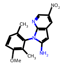 COc1ccc(C)c(-n2c(N)cc3cc([N+](=O)[O-])cnc32)c1C